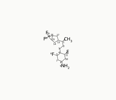 CC(CCC1C(F)CC(N)CC1F)C1CC2C(C1)C2(F)F